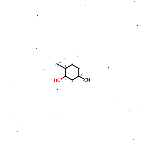 CC(C)C1CCC(C#N)CC1O